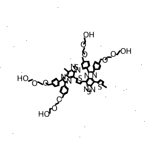 Cc1ccc(-c2c3nsnc3c(-c3ccc(-c4c5nsnc5c(C)c5nc(-c6ccc(COCCOCCO)cc6)c(-c6ccc(COCCOCCO)cc6)nc45)s3)c3nc(-c4ccc(COCCOCCO)cc4)c(-c4ccc(COCCOCCO)cc4)nc23)s1